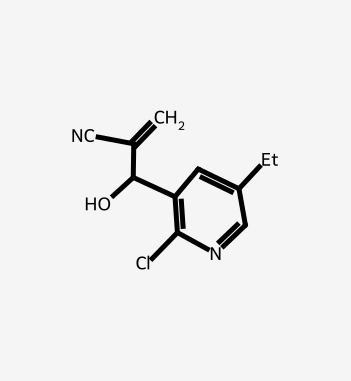 C=C(C#N)C(O)c1cc(CC)cnc1Cl